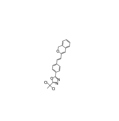 CC(Cl)(Cl)c1nnc(-c2ccc(/C=C/C3=Cc4ccccc4CO3)cc2)o1